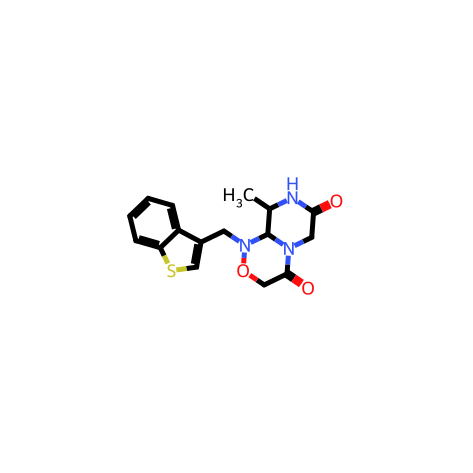 CC1NC(=O)CN2C(=O)CON(Cc3csc4ccccc34)C12